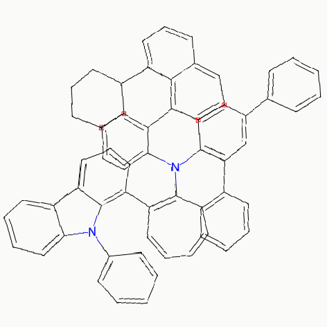 C1=CCC(N(c2ccc(-c3ccccc3)cc2-c2ccccc2)c2ccccc2-c2cccc3cccc(C4CCCCC4)c23)=C(c2cccc3c4ccccc4n(-c4ccccc4)c23)C=C1